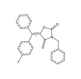 O=C1O/C(=C(\c2ccccc2)c2ccc(F)cc2)C(=O)N1Cc1ccccc1